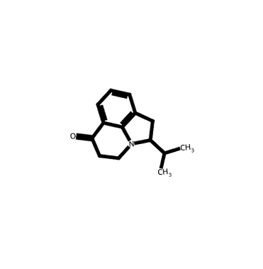 CC(C)C1Cc2cccc3c2N1CCC3=O